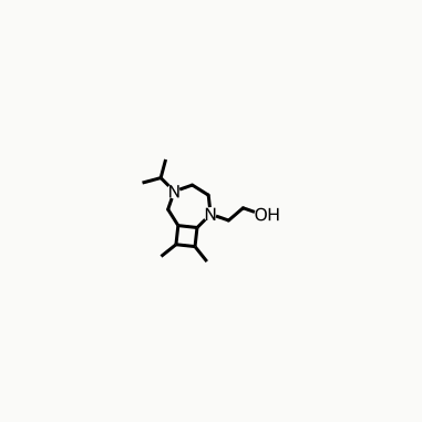 CC1C(C)C2C1CN(C(C)C)CCN2CCO